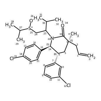 C=CC[C@@]1(C)C[C@H](c2cccc(Cl)c2)[C@@H](c2ccc(Cl)cc2)N(C(C[S+]([O-])C(C)C)C(C)C)C1=O